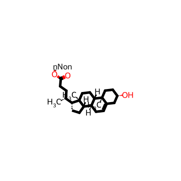 CCCCCCCCCOC(=O)CC[C@@H](C)[C@H]1CC[C@H]2[C@@H]3CC=C4C[C@@H](O)CC[C@]4(C)[C@H]3CC[C@]12C